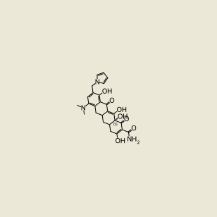 CN(C)c1cc(Cn2cccc2)c(O)c2c1CC1CC3CC(O)=C(C(N)=O)C(=O)[C@@]3(O)C(O)=C1C2=O